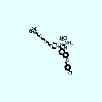 CS(=O)(=O)NCCOCCOCCN1CCN(c2nc(N)nc3c2CCc2cc(OCc4ccc(Cl)cc4)ccc2-3)CC1.Cl.Cl